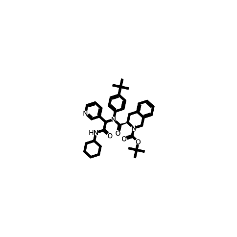 CC(C)(C)OC(=O)N1Cc2ccccc2C[C@@H]1C(=O)N(c1ccc(C(C)(C)C)cc1)C(C(=O)NC1CCCCC1)c1cccnc1